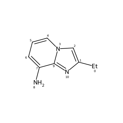 CCc1cn2cccc(N)c2n1